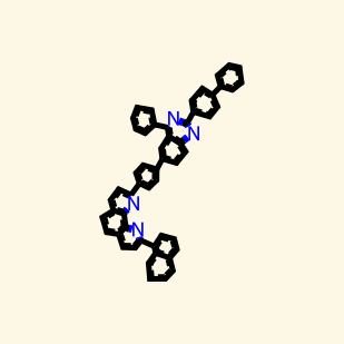 c1ccc(-c2ccc(-c3nc(-c4ccccc4)c4cc(-c5ccc(-c6ccc7ccc8ccc(-c9cccc%10ccccc9%10)nc8c7n6)cc5)ccc4n3)cc2)cc1